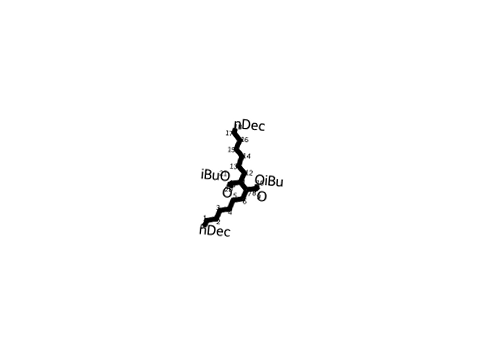 CCCCCCCCCCCCCCCCC(C(=O)OCC(C)C)C(CCCCCCCCCCCCCCCC)C(=O)OCC(C)C